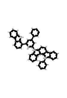 c1ccc(-c2cc(-c3cccc4c3oc3ccccc34)nc(-n3c4ccccc4c4c3ccc3c5ccccc5n(-c5ccccc5)c34)c2)cc1